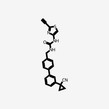 C#Cc1nc(NC(=O)NCc2ccc(-c3cccc(C4(C#N)CC4)c3)cc2)cs1